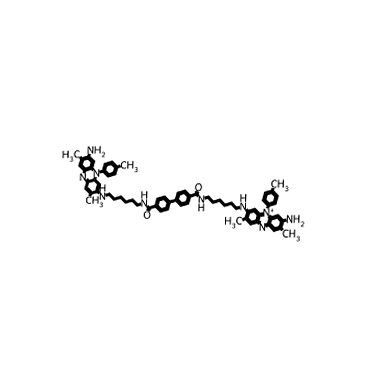 CC1=CC2=Nc3cc(C)c(N)cc3N(c3ccc(C)cc3)C2C=C1NCCCCCCNC(=O)c1ccc(-c2ccc(C(=O)NCCCCCCNc3cc4c(cc3C)nc3cc(C)c(N)cc3[n+]4-c3ccc(C)cc3)cc2)cc1